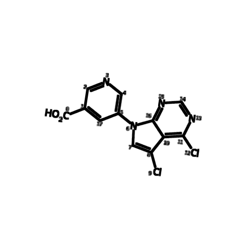 O=C(O)c1cncc(-n2cc(Cl)c3c(Cl)ncnc32)c1